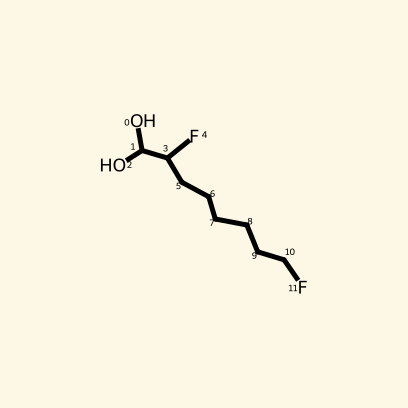 OC(O)C(F)CCCCCCF